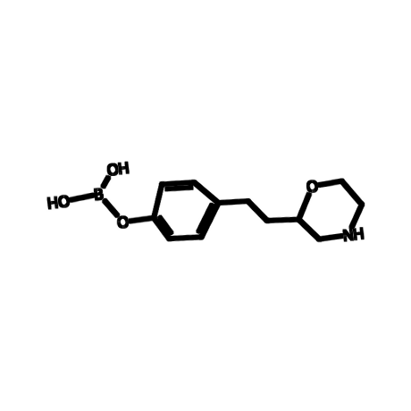 OB(O)Oc1ccc(CCC2CNCCO2)cc1